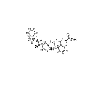 O=C(O)CCCCc1cc2cc(C(=O)NC3COc4ccccc43)ccc2nc1-c1ccccc1